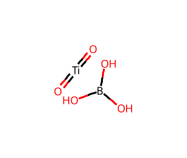 OB(O)O.[O]=[Ti]=[O]